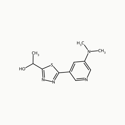 CC(O)c1nnc(-c2cncc(N(C)C)c2)s1